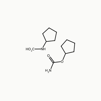 NC(=O)OC1CCCC1.O=C(O)NC1CCCC1